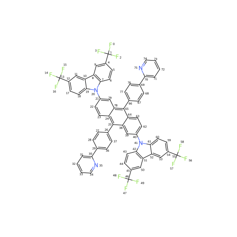 FC(F)(F)c1ccc2c(c1)c1cc(C(F)(F)F)ccc1n2-c1ccc2c(-c3ccc(-c4ccccn4)cc3)c3cc(-n4c5ccc(C(F)(F)F)cc5c5cc(C(F)(F)F)ccc54)ccc3c(-c3ccc(-c4ccccn4)cc3)c2c1